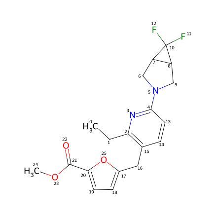 CCc1nc(N2CC3C(C2)C3(F)F)ccc1Cc1ccc(C(=O)OC)o1